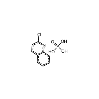 Clc1ccc2ccccc2n1.O=P(O)(O)O